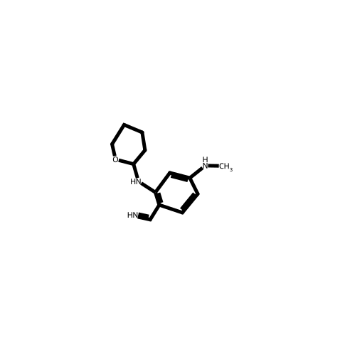 CNc1ccc(C=N)c(NC2CCCCO2)c1